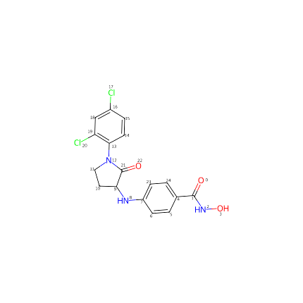 O=C(NO)c1ccc(NC2CCN(c3ccc(Cl)cc3Cl)C2=O)cc1